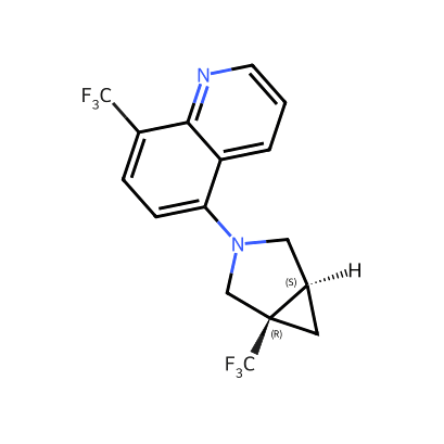 FC(F)(F)c1ccc(N2C[C@H]3C[C@]3(C(F)(F)F)C2)c2cccnc12